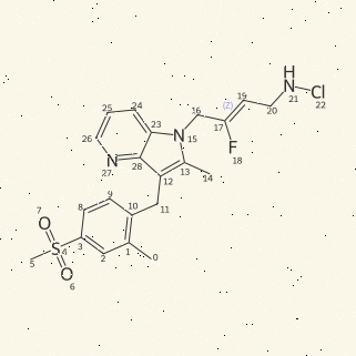 Cc1cc(S(C)(=O)=O)ccc1Cc1c(C)n(C/C(F)=C/CNCl)c2cccnc12